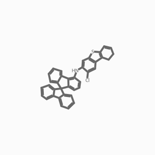 Clc1cc2c3c(sc2cc1Nc1cccc2c1-c1ccccc1C21c2ccccc2-c2ccccc21)C=CCC3